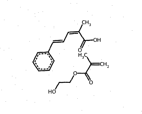 C=C(C)C(=O)OCCO.CC(=CC=Cc1ccccc1)C(=O)O